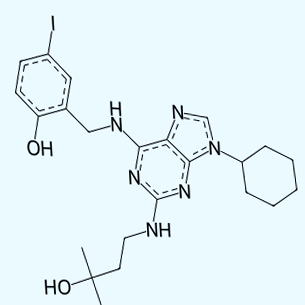 CC(C)(O)CCNc1nc(NCc2cc(I)ccc2O)c2ncn(C3CCCCC3)c2n1